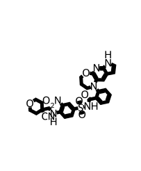 N#CC1(CNc2ccc(S(=O)(=O)NC(=O)c3ccccc3N3CCCOc4nc5[nH]ccc5cc43)cc2[N+](=O)[O-])CCOCC1